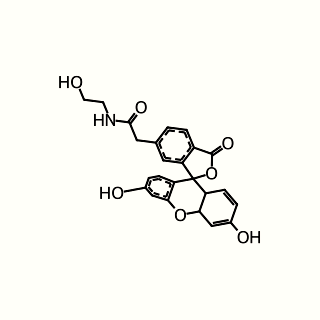 O=C(Cc1ccc2c(c1)C1(OC2=O)c2ccc(O)cc2OC2C=C(O)C=CC21)NCCO